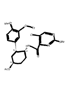 CCOc1cc([C@H]2C[C@H](OC(C)=O)CC[C@H]2NC(=O)c2nc(SC)ncc2Cl)ccc1OC